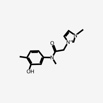 Cc1ccc(N(C)C(=O)C[n+]2ccn(C)c2)cc1O